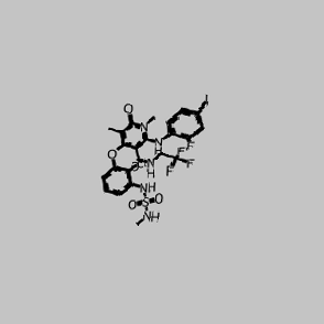 CNS(=O)(=O)Nc1cccc(Oc2c(C(=O)NCC(F)(F)F)c(Nc3ccc(I)cc3F)n(C)c(=O)c2C)c1Cl